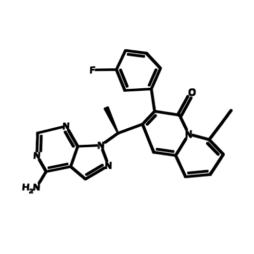 Cc1cccc2cc([C@H](C)n3ncc4c(N)ncnc43)c(-c3cccc(F)c3)c(=O)n12